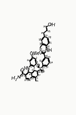 COc1cccc(Nc2c(C(N)=O)cnc3c(C)cc(S(=O)(=O)c4cccc(C(=O)Nc5ccc(CCCO)cc5C)c4)cc23)c1